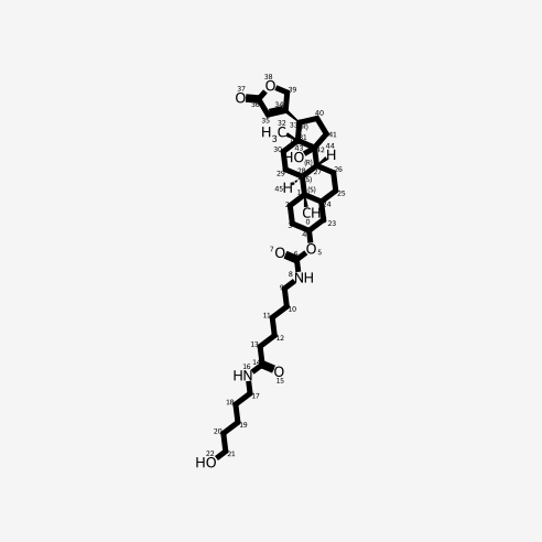 C[C@]12CCC(OC(=O)NCCCCCC(=O)NCCCCCO)CC1CC[C@@H]1[C@@H]2CC[C@]2(C)[C@@H](C3=CC(=O)OC3)CCC12O